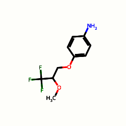 COC(COc1ccc(N)cc1)C(F)(F)F